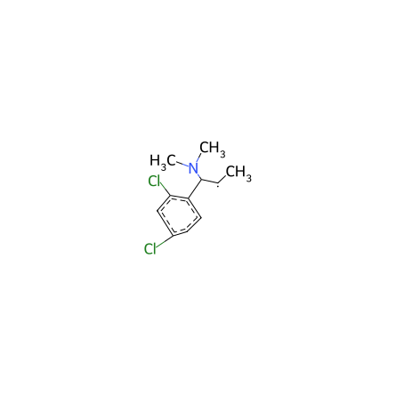 C[CH]C(c1ccc(Cl)cc1Cl)N(C)C